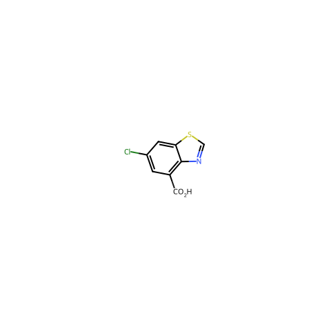 O=C(O)c1cc(Cl)cc2scnc12